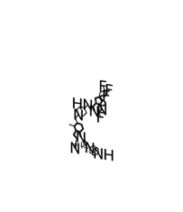 Cc1c(CN2CCC(Nc3nc(F)nc4sc(CC(F)(F)F)cc34)CC2)ccc2c1cc(C#N)n2C[C@H](C)N1CCNCC1